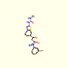 CCNC(=O)Nc1nc2ccc(C(=O)CC(=O)Nc3cccc(C)c3)cc2s1